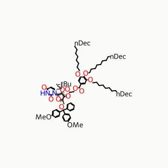 CCCCCCCCCCCCCCCCCCOc1cc(C(=O)OCC(=O)O[C@@H]2[C@@H](O[Si](C)(C)C(C)(C)C)[C@H](n3ccc(=O)[nH]c3=O)O[C@@H]2COC(c2ccccc2)(c2ccc(OC)cc2)c2ccc(OC)cc2)cc(OCCCCCCCCCCCCCCCCCC)c1OCCCCCCCCCCCCCCCCCC